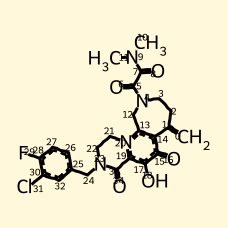 C=C1CCN(C(=O)C(=O)N(C)C)Cc2c1c(=O)c(O)c1n2CCN(Cc2ccc(F)c(Cl)c2)C1=O